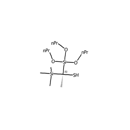 CCCO[Si](OCCC)(OCCC)[C@@](C)(S)[Si](C)(C)C